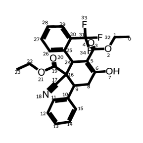 CCOC(=O)C1=C(O)CC(c2ccccc2)C(C#N)(C(=O)OCC)C1c1ccccc1C(F)(F)F